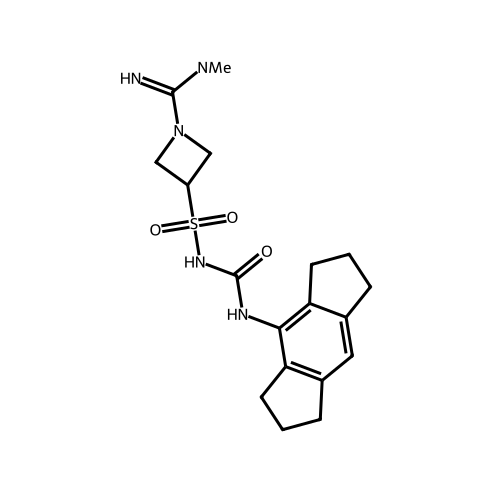 CNC(=N)N1CC(S(=O)(=O)NC(=O)Nc2c3c(cc4c2CCC4)CCC3)C1